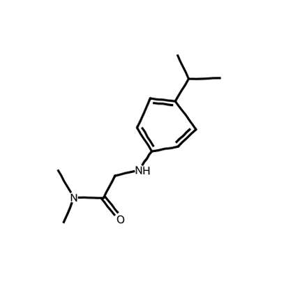 CC(C)c1ccc(NCC(=O)N(C)C)cc1